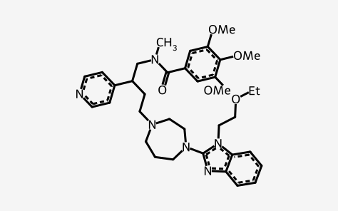 CCOCCn1c(N2CCCN(CCC(CN(C)C(=O)c3cc(OC)c(OC)c(OC)c3)c3ccncc3)CC2)nc2ccccc21